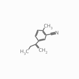 C=C(CC)c1ccc(C)c(C#N)c1